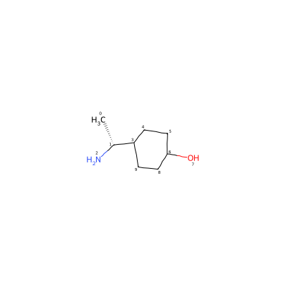 C[C@@H](N)C1CCC(O)CC1